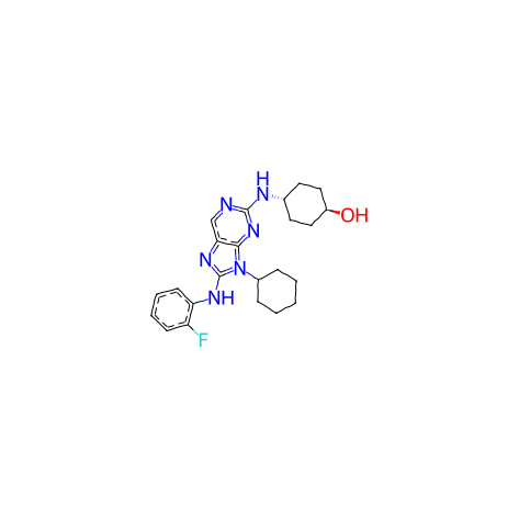 O[C@H]1CC[C@H](Nc2ncc3nc(Nc4ccccc4F)n(C4CCCCC4)c3n2)CC1